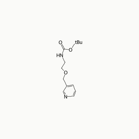 CC(C)(C)OC(=O)NCCOCc1cccnc1